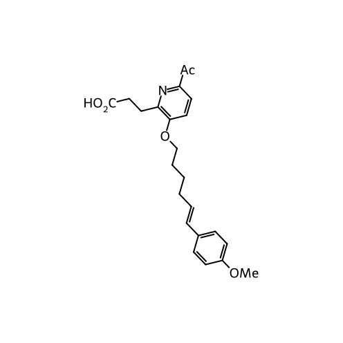 COc1ccc(/C=C/CCCCOc2ccc(C(C)=O)nc2CCC(=O)O)cc1